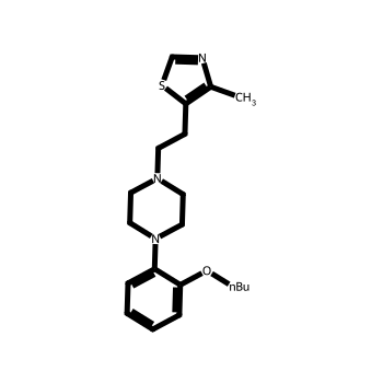 CCCCOc1ccccc1N1CCN(CCc2scnc2C)CC1